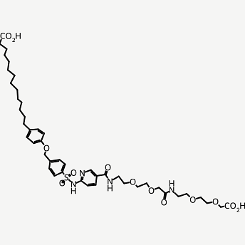 O=C(O)CCCCCCCCCCCCCc1ccc(OCc2ccc(S(=O)(=O)Nc3ccc(C(=O)NCCOCCOCC(=O)NCCOCCOCC(=O)O)cn3)cc2)cc1